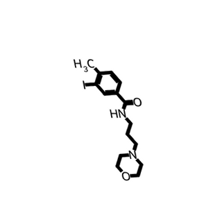 Cc1ccc(C(=O)NCCCN2CCOCC2)cc1I